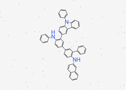 c1ccc(Nc2ccc(-c3ccc(Nc4ccc5ccccc5c4)c(-c4ccccc4)c3)cc2-c2ccc3c(c2)c2ccccc2n3-c2ccccc2)cc1